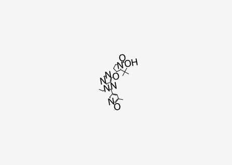 CCn1c(-c2cnc(OC)c(C)c2)nc2c(OC3CCN(C(=O)O)C3C(C)(C)C)ncnc21